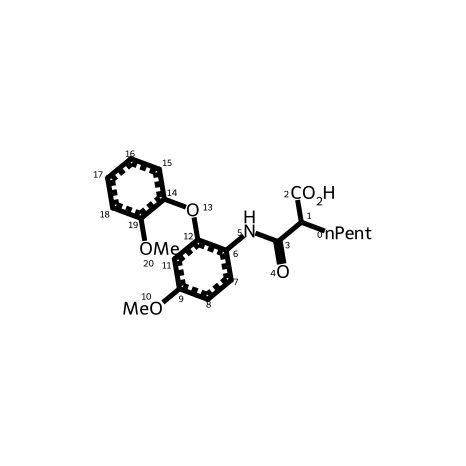 CCCCCC(C(=O)O)C(=O)Nc1ccc(OC)cc1Oc1ccccc1OC